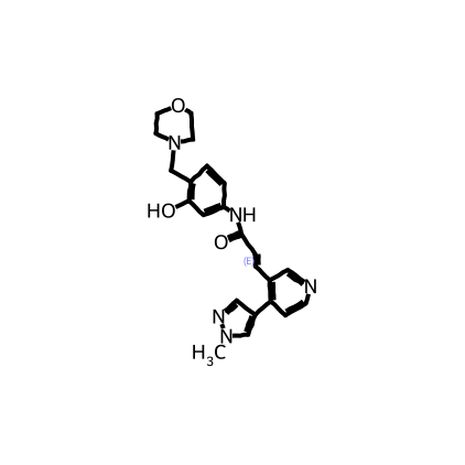 Cn1cc(-c2ccncc2/C=C/C(=O)Nc2ccc(CN3CCOCC3)c(O)c2)cn1